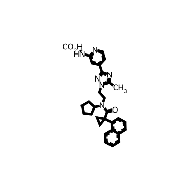 Cc1nc(-c2ccnc(NC(=O)O)c2)nn1CCN(C(=O)C1(c2cccc3ccccc23)CC1)C1CCCC1